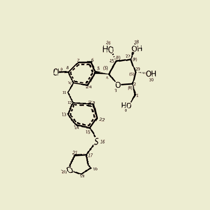 OC[C@H]1O[C@@H](c2ccc(Cl)c(Cc3ccc(SC4CCOC4)cc3)c2)[C@H](O)[C@@H](O)[C@@H]1O